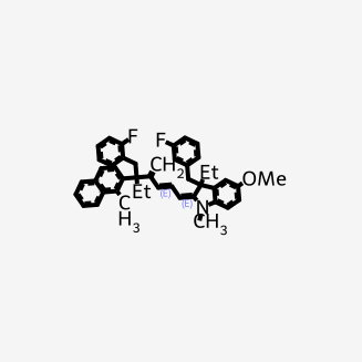 C=C(/C=C/C=C1/N(C)c2ccc(OC)cc2C1(CC)Cc1cccc(F)c1)C(CC)(Cc1ccccc1F)c1ccc2ccccc2c1C